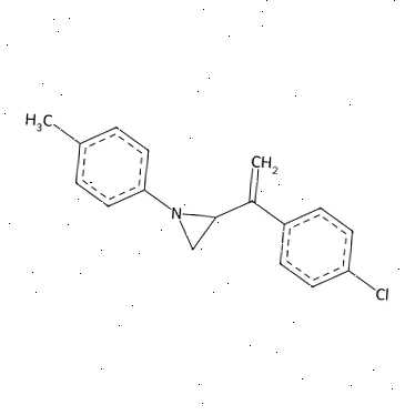 C=C(c1ccc(Cl)cc1)C1CN1c1ccc(C)cc1